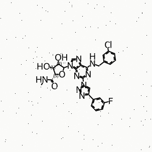 CNC(=O)[C@H]1OC(n2cnc3c(NCc4cccc(Cl)c4)nc(-n4cc(-c5cccc(F)c5)nn4)nc32)[C@H](O)[C@@H]1O